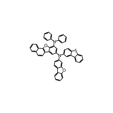 c1ccc(N(c2ccccc2)c2cc(N(c3ccc4c(c3)oc3ccccc34)c3ccc4sc5ccccc5c4c3)cc3c2oc2c4ccccc4ccc32)cc1